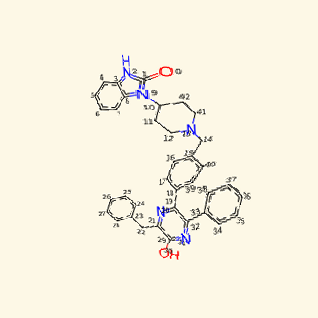 O=c1[nH]c2ccccc2n1C1CCN(Cc2ccc(-c3nc(Cc4ccccc4)c(O)nc3-c3ccccc3)cc2)CC1